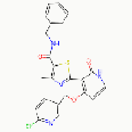 Cc1nc(-c2c(OCc3ccc(Cl)nc3)cc[nH]c2=O)sc1C(=O)NCc1ccccc1